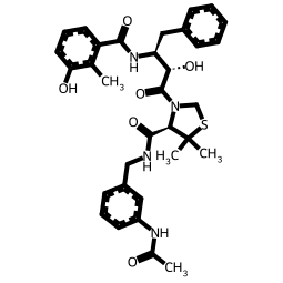 CC(=O)Nc1cccc(CNC(=O)[C@H]2N(C(=O)[C@@H](O)[C@H](Cc3ccccc3)NC(=O)c3cccc(O)c3C)CSC2(C)C)c1